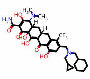 CN(C)[C@@H]1C(O)=C(C(N)=O)C(=O)[C@@]2(O)C(O)=C3C(=O)c4c(O)cc(CN(CC5CCCCC5)CC5CC5)c(C(F)(F)F)c4C[C@H]3C[C@@H]12